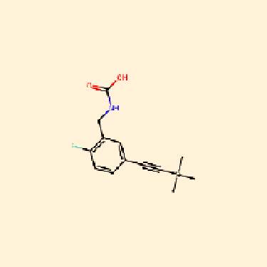 C[Si](C)(C)C#Cc1ccc(F)c(CNC(=O)O)c1